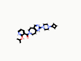 CC(C)Oc1ncccc1C(=O)N1CCc2cnc(N3CCN(C4CCC4)CC3)nc2CC1